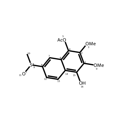 COc1c(OC)c(OC(C)=O)c2cc([S+](C)[O-])ccc2c1O